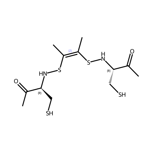 CC(=O)[C@H](CS)NS/C(C)=C(/C)SN[C@@H](CS)C(C)=O